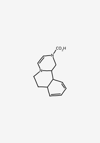 O=C(O)N1C=CN2CCC3C=CC=CC3C2C1